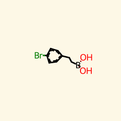 OB(O)CCc1ccc(Br)cc1